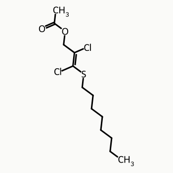 CCCCCCCCSC(Cl)=C(Cl)COC(C)=O